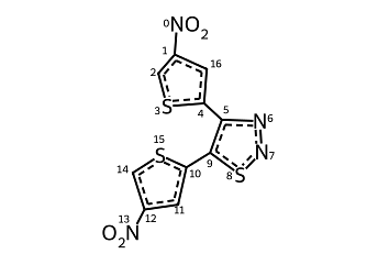 O=[N+]([O-])c1csc(-c2nnsc2-c2cc([N+](=O)[O-])cs2)c1